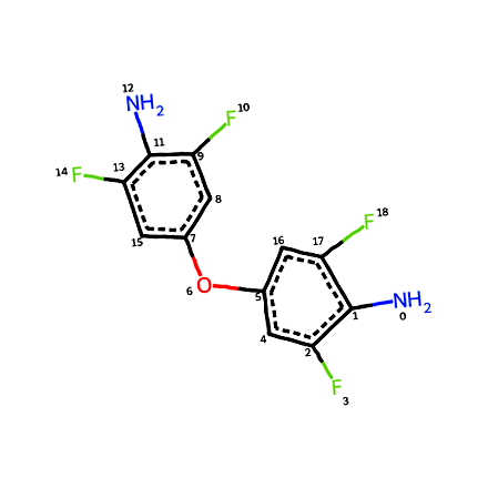 Nc1c(F)cc(Oc2cc(F)c(N)c(F)c2)cc1F